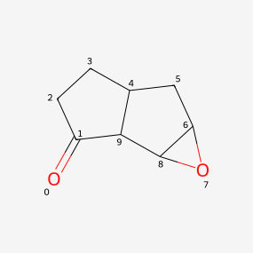 O=C1CCC2CC3OC3C12